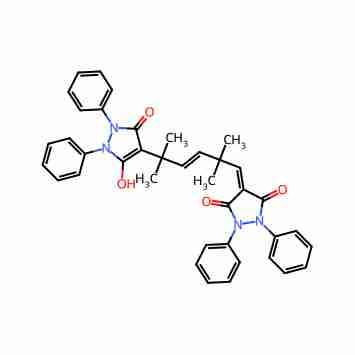 CC(C)(C=CC(C)(C)c1c(O)n(-c2ccccc2)n(-c2ccccc2)c1=O)C=C1C(=O)N(c2ccccc2)N(c2ccccc2)C1=O